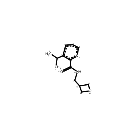 CC(C)c1cccnc1C(=O)NCC1COC1